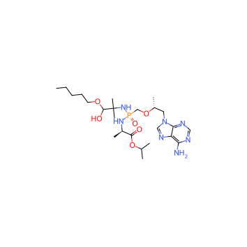 CCCCCOC(O)C(C)(C)NP(=O)(CO[C@H](C)Cn1cnc2c(N)ncnc21)N[C@H](C)C(=O)OC(C)C